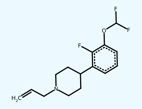 C=CCN1CCC(c2cccc(OC(F)F)c2F)CC1